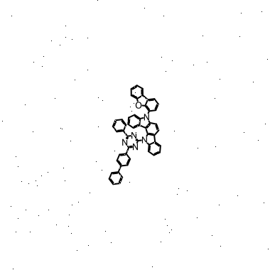 c1ccc(-c2ccc(-c3nc(-c4ccccc4)nc(-n4c5ccccc5c5ccc6c(c7ccccc7n6-c6cccc7c6oc6ccccc67)c54)n3)cc2)cc1